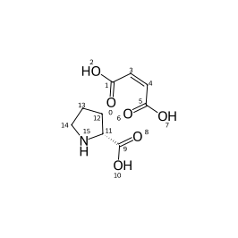 O=C(O)/C=C\C(=O)O.O=C(O)[C@H]1CCCN1